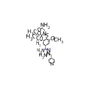 COc1cc(/C(N)=N/N(N)Cc2ccncc2)ccc1SN(CC(N)=O)C(=O)OC(C)(C)C